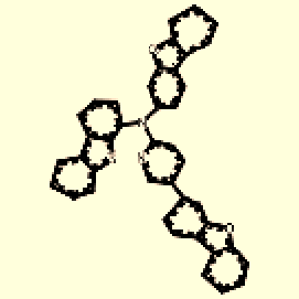 c1ccc2c(c1)oc1cc(-c3ccc(N(c4ccc5c(c4)oc4ccccc45)c4cccc5c4sc4ccccc45)nc3)ccc12